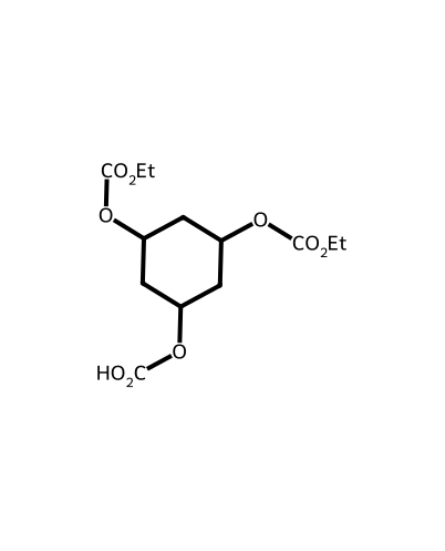 CCOC(=O)OC1CC(OC(=O)O)CC(OC(=O)OCC)C1